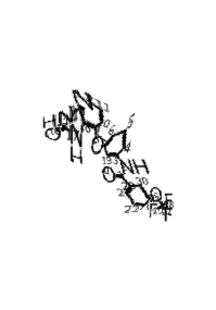 O=C(Nc1cccc(Oc2ccnc3[nH]c(=O)[nH]c23)c1)c1cccc(OC(F)(F)F)c1